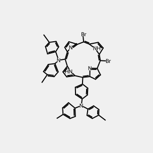 Cc1ccc(N(c2ccc(C)cc2)c2ccc(-c3c4nc(c(Br)c5ccc([nH]5)c(Br)c5nc(c(N(c6ccc(C)cc6)c6ccc(C)cc6)c6ccc3[nH]6)C=C5)C=C4)cc2)cc1